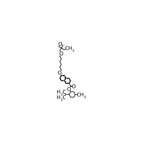 CCC1(COCCCCCCOc2ccc3cc(C(=O)OC4CC(C)CCC4C(C)C)ccc3c2)COC1